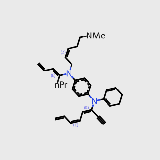 C#C/C(=C\C=C/C=C)N(C1=CCCC=C1)c1ccc(N(C/C=C\CCNC)/C(=C/C=C)CCC)cc1